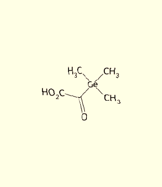 [CH3][Ge]([CH3])([CH3])[C](=O)C(=O)O